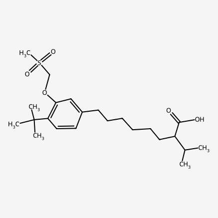 CC(C)C(CCCCCCc1ccc(C(C)(C)C)c(OCS(C)(=O)=O)c1)C(=O)O